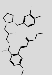 CCOC(=O)/C=C/c1cc(OC)ccc1[C@@H](C)OC[C@H](O)CN1CCC[C@H]1Cc1ccc(C)c(F)c1